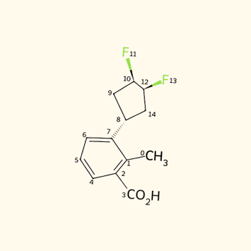 Cc1c(C(=O)O)cccc1[C@@H]1C[C@@H](F)[C@@H](F)C1